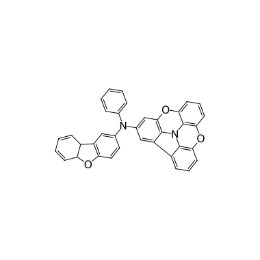 C1=CC2Oc3ccc(N(c4ccccc4)c4cc5c6c(c4)c4cccc7c4n6-c4c(cccc4O5)O7)cc3C2C=C1